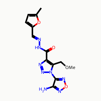 COCc1c(C(=O)N/N=C/c2ccc(C)o2)nnn1-c1nonc1N